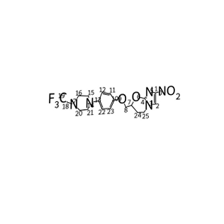 O=[N+]([O-])c1cn2c(n1)OC(COc1ccc(N3CCN(CC(F)(F)F)CC3)cc1)CC2